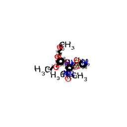 CCCOc1cc(OCCCOC)cc(Oc2cc3c(cc2NS(=O)(=O)c2cccnc2)n(C)c(=O)n3C)c1